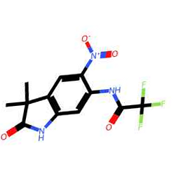 CC1(C)C(=O)Nc2cc(NC(=O)C(F)(F)F)c([N+](=O)[O-])cc21